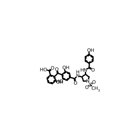 CS(=O)(=O)N1CC(NC(=O)c2ccc(O)cc2)C(NC(=O)c2cc(O)c(C(=O)c3c(O)cccc3C(=O)O)c(O)c2)C1